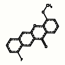 COc1cccc2c(=O)c3cc4c(F)cccc4cc3oc12